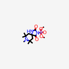 COP(=O)(OC)N1C(=O)NC2(CC(C)(C)N(C)C(C)(C)C2)C1=O